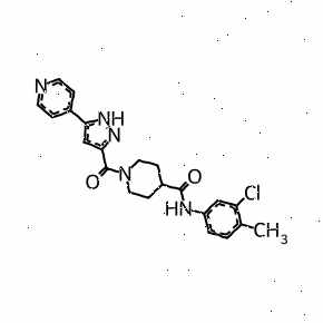 Cc1ccc(NC(=O)C2CCN(C(=O)c3cc(-c4ccncc4)[nH]n3)CC2)cc1Cl